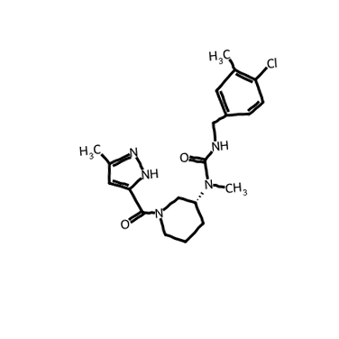 Cc1cc(C(=O)N2CCC[C@@H](N(C)C(=O)NCc3ccc(Cl)c(C)c3)C2)[nH]n1